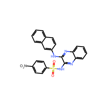 O=[N+]([O-])c1ccc(S(=O)(=O)Nc2nc3ccccc3nc2Nc2ccc3ccccc3c2)cc1